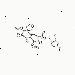 CCCCOc1c2n(cc(C(=O)NCc3ccc(F)cc3F)c1=O)C1(CCOC1)C(OC)N(CC)C2=O